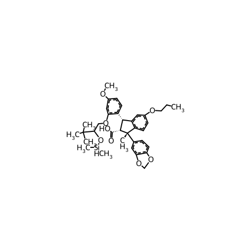 CCCOc1ccc2c(c1)[C@@H](c1ccc(OC)cc1OCC(O[SiH](C)C)C(C)(C)C)[C@@H](C(=O)O)[C@@]2(C)c1ccc2c(c1)OCO2